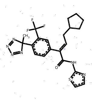 CC1(c2ccc(/C(=C\CC3CCCC3)C(=O)Nc3nccs3)cc2C(F)(F)F)N=NN=N1